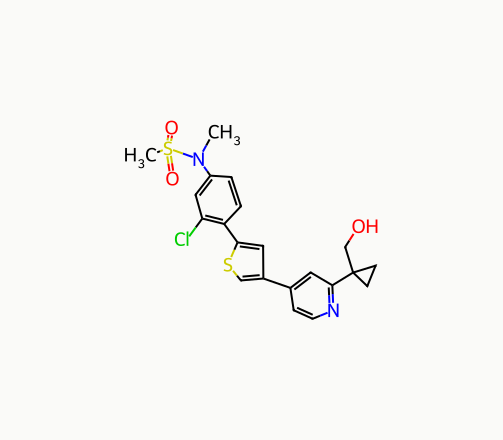 CN(c1ccc(-c2cc(-c3ccnc(C4(CO)CC4)c3)cs2)c(Cl)c1)S(C)(=O)=O